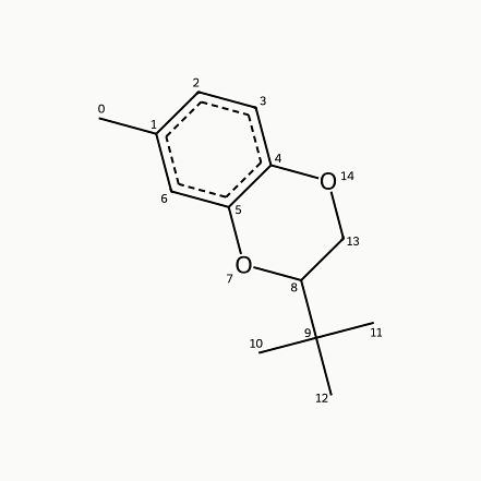 Cc1ccc2c(c1)OC(C(C)(C)C)CO2